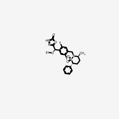 CCO[C@@H](c1n[nH]c(=O)o1)c1cc(F)c(CN2[C@@H](C)CC[C@H](c3ccccc3)S2(=O)=O)cc1F